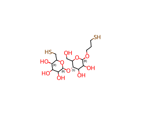 OCC1O[C@@H](OCCCS)C(O)C(O)[C@@H]1O[C@@H]1OC(CS)[C@H](O)C(O)C1O